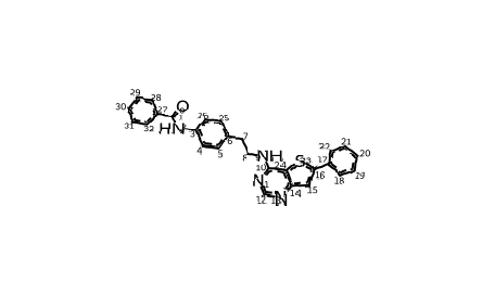 O=C(Nc1ccc(CCNc2ncnc3cc(-c4ccccc4)sc23)cc1)c1ccccc1